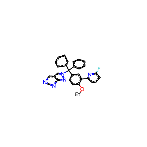 CCOc1ccc(C(c2ccccc2)(c2ccccc2)n2cc3cncnc3n2)cc1-c1cccc(F)n1